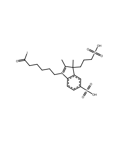 CC1=[N+](CCCCCC(=O)I)c2ccc(S(=O)(=O)O)cc2C1(C)CCCS(=O)(=O)O